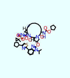 CC(C)n1c(O[C@@H]2C[C@H]3C(=O)N[C@]4(C(=O)NS(=O)(=O)C5(C)CC5)C[C@H]4/C=C\CCCCC[C@H](NC(=O)OC4CCCC4)C(=O)N3C2)nc2c(-c3nc(C4CCCC4)cs3)cccc21